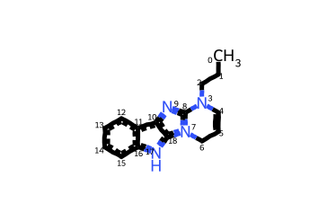 CCCN1C=CCn2c1nc1c3ccccc3[nH]c12